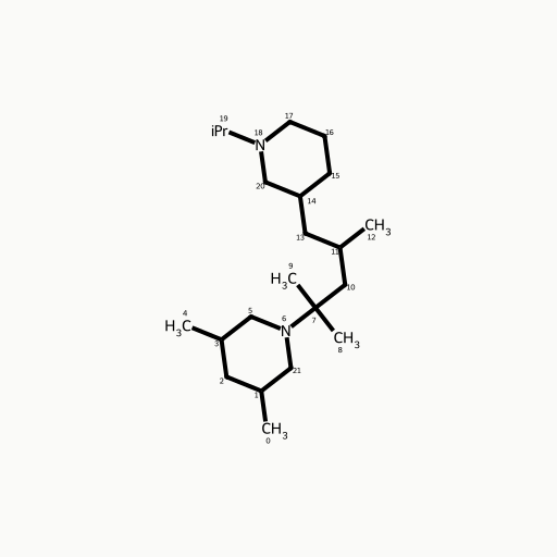 CC1CC(C)CN(C(C)(C)CC(C)CC2CCCN(C(C)C)C2)C1